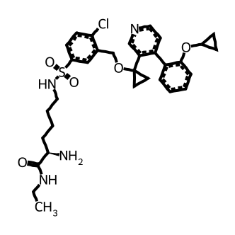 CCNC(=O)[C@H](N)CCCCNS(=O)(=O)c1ccc(Cl)c(COC2(c3cnccc3-c3ccccc3OC3CC3)CC2)c1